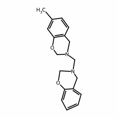 Cc1ccc2c(c1)OCN(CN1COc3ccccc3C1)C2